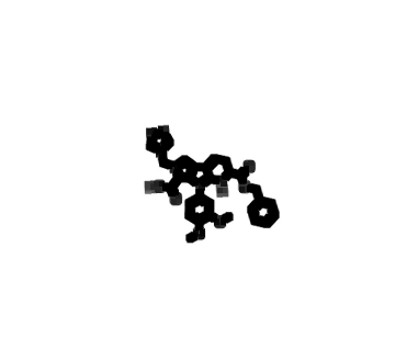 COc1ccc(S2=C3NC(C(=O)OCc4ccccc4)CC=C3c3cn(Cn4cnnc4)c(C(=O)O)c32)cc1OC